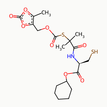 Cc1oc(=O)oc1COC(=O)SC(C)(C)C(=O)N[C@@H](CS)C(=O)OC1CCCCC1